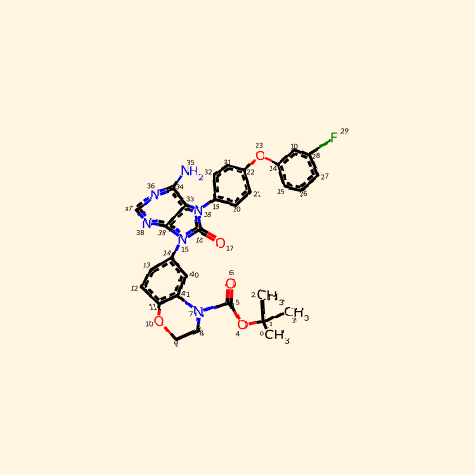 CC(C)(C)OC(=O)N1CCOc2ccc(-n3c(=O)n(-c4ccc(Oc5cccc(F)c5)cc4)c4c(N)ncnc43)cc21